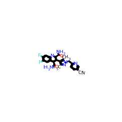 Cc1c(-c2c(C(N)=O)nc3cc(F)c(F)cc3c2C(N)=O)c(C(F)(F)F)nn1Cc1ccc(C#N)cn1